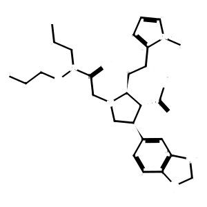 CCCON(CCC)C(=O)CN1C[C@H](c2ccc3c(c2)OCO3)[C@@H](C(=O)O)[C@@H]1CCc1cccn1C